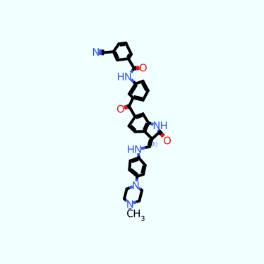 CN1CCN(c2ccc(N/C=C3/C(=O)Nc4cc(C(=O)c5cccc(NC(=O)c6cccc(C#N)c6)c5)ccc43)cc2)CC1